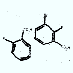 O=C(O)c1cccc(Br)c1F.O=C(O)c1ccccc1F